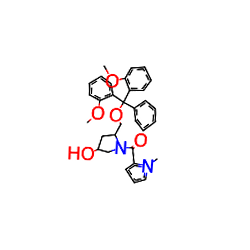 COc1ccccc1C(OCC1CC(O)CN1C(=O)c1cccn1C)(c1ccccc1)c1ccccc1OC